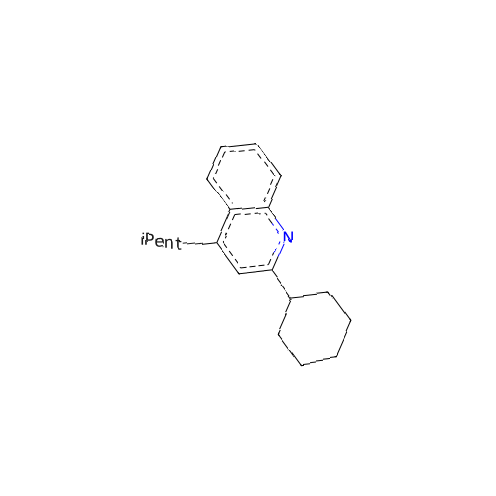 CCCC(C)c1cc(C2CCCCC2)nc2ccccc12